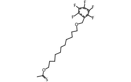 CC(=S)OCCCCCCCCCCCOCc1c(F)c(F)c(F)c(F)c1F